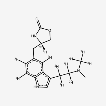 [2H]c1c(C[C@@]2([2H])COC(=O)N2)c([2H])c2c(C([2H])([2H])C([2H])([2H])N(C)C([2H])([2H])[2H])c[nH]c2c1[2H]